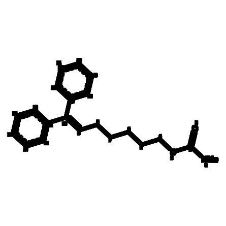 CNC(=O)OCCCCCC=C(c1ccccc1)c1cccnc1